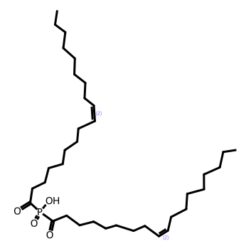 CCCCCCCC/C=C\CCCCCCCC(=O)P(=O)(O)C(=O)CCCCCCC/C=C\CCCCCCCC